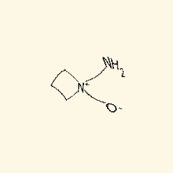 N[N+]1([O-])CCC1